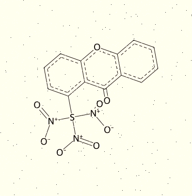 O=c1c2ccccc2oc2cccc(S([N+](=O)[O-])([N+](=O)[O-])[N+](=O)[O-])c12